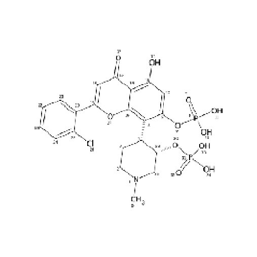 CN1CC[C@H](c2c(OP(=O)(O)O)cc(O)c3c(=O)cc(-c4ccccc4Cl)oc23)[C@H](OP(=O)(O)O)C1